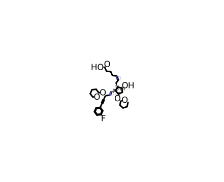 O=C(O)CCC/C=C\C[C@@H]1[C@@H](/C=C/C(C#Cc2cccc(F)c2)OC2CCCCO2)[C@H](OC2CCCCO2)C[C@@H]1O